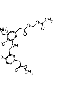 COC(=O)Cc1ccc(O)c(CNc2cc(CC(=O)OCOC(C)=O)cc(CN)c2O)c1